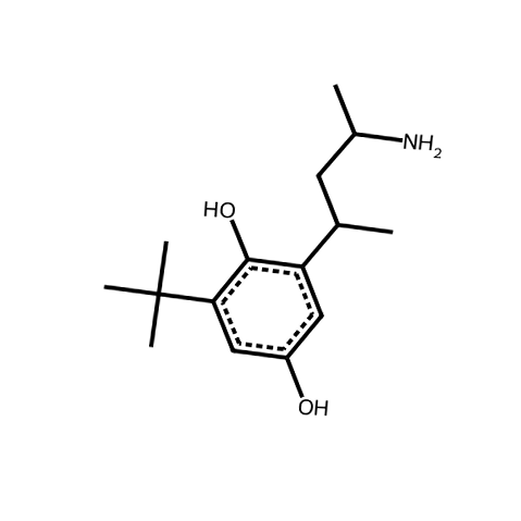 CC(N)CC(C)c1cc(O)cc(C(C)(C)C)c1O